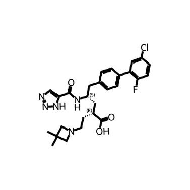 CC1(C)CN(CC[C@H](C[C@@H](Cc2ccc(-c3cc(Cl)ccc3F)cc2)NC(=O)c2cnn[nH]2)C(=O)O)C1